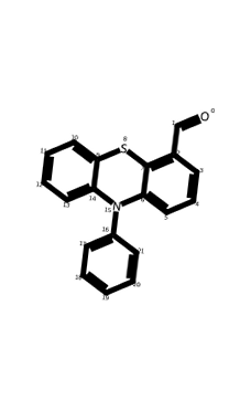 O=Cc1cccc2c1Sc1ccccc1N2c1ccccc1